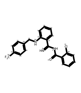 N=C(NC(=O)c1ccccc1Cl)c1ccccc1NCc1ccc(C(F)(F)F)cc1